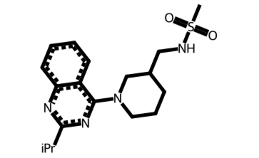 CC(C)c1nc(N2CCCC(CNS(C)(=O)=O)C2)c2ccccc2n1